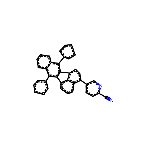 N#Cc1ccc(-c2ccc3c4c(cccc24)-c2c-3c(-c3ccccc3)c3ccccc3c2-c2ccccc2)cn1